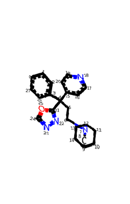 c1ccc(C(CCN2CC3CCC2CC3)(c2ccncc2)c2nnco2)cc1